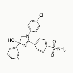 NS(=O)(=O)c1ccc(C2=NC(O)(c3cccnc3)CN2c2ccc(Cl)cc2)cc1